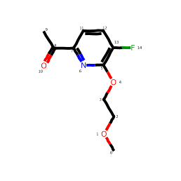 COCCOc1nc(C(C)=O)ccc1F